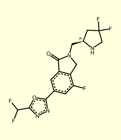 O=C1c2cc(-c3nnc(C(F)F)o3)cc(F)c2CN1C[C@H]1CC(F)(F)CN1